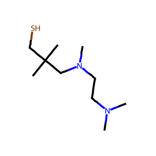 CN(C)CCN(C)CC(C)(C)CS